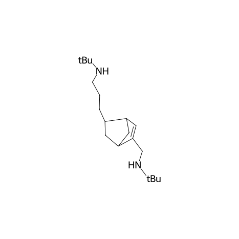 CC(C)(C)NCCCC1CC2CC1C=C2CNC(C)(C)C